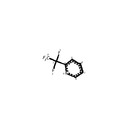 FC(F)(F)C(F)(F)c1cc[c]cn1